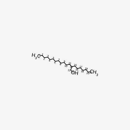 CCCCCCCCCCCCC(CO)CCCCCCC